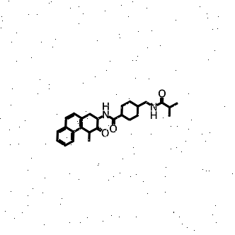 CC(C)C(=O)NCC1CCC(C(=O)NC2Cc3ccc4ccccc4c3C(C)C2=O)CC1